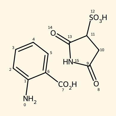 Nc1ccccc1C(=O)O.O=C1CC(S(=O)(=O)O)C(=O)N1